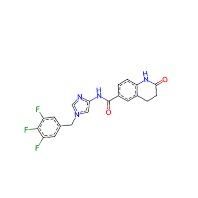 O=C1CCc2cc(C(=O)Nc3cn(Cc4cc(F)c(F)c(F)c4)cn3)ccc2N1